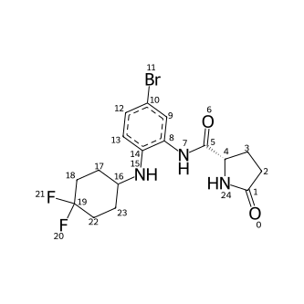 O=C1CC[C@@H](C(=O)Nc2cc(Br)ccc2NC2CCC(F)(F)CC2)N1